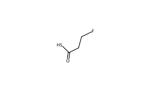 O=C(S)CCF